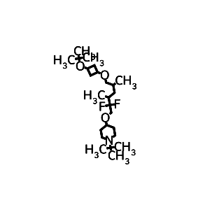 CC(COC1CC(OC(C)(C)C)C1)CC(C)C(F)(F)COC1CCN(C(C)(C)C)CC1